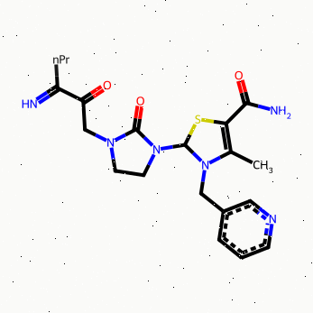 CCCC(=N)C(=O)CN1CCN(C2SC(C(N)=O)=C(C)N2Cc2cccnc2)C1=O